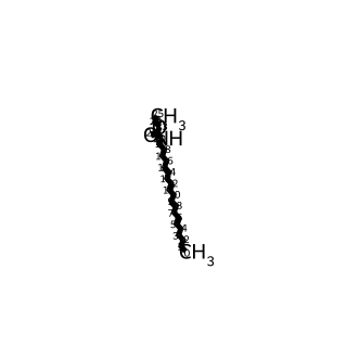 CCCCCC=CCC=CCC=CCC=CCCCCNC(=O)OCC